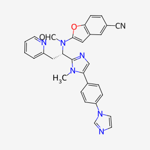 Cn1c(-c2ccc(-n3ccnc3)cc2)cnc1[C@H](Cc1ccccn1)N(C=O)c1cc2cc(C#N)ccc2o1